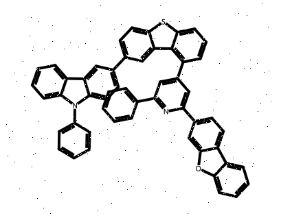 c1ccc(-c2cc(-c3cccc4sc5ccc(-c6ccc7c(c6)c6ccccc6n7-c6ccccc6)cc5c34)cc(-c3ccc4c(c3)oc3ccccc34)n2)cc1